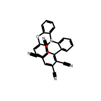 N#Cc1cc(C#N)c(C#N)c(-c2ccccc2N2c3ccccc3Oc3ccccc32)c1C#N